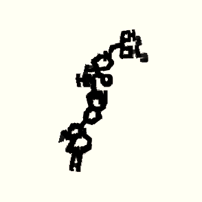 CC(C)CN1CCC(F)(C(=O)Nc2cc3cc(-c4cnc5n4CCNC5)ccc3cn2)CC1